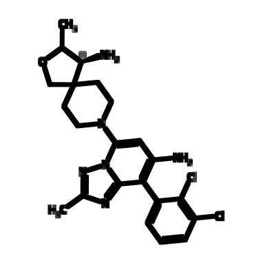 Cc1nc2c(-c3cccc(Cl)c3Cl)c(N)cc(N3CCC4(CC3)COC(C)[C@H]4N)n2n1